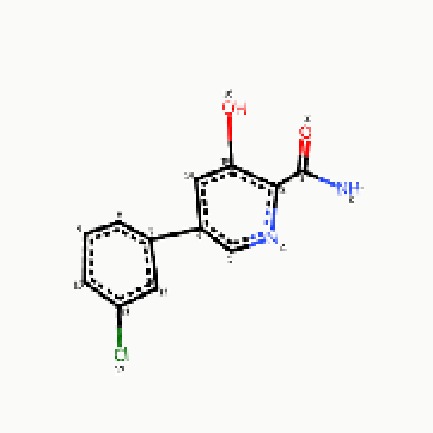 [NH]C(=O)c1ncc(-c2cccc(Cl)c2)cc1O